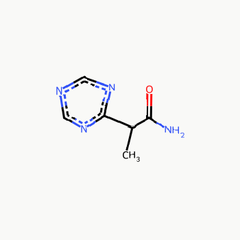 CC(C(N)=O)c1ncncn1